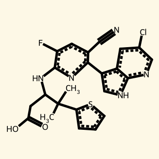 CC(C)(c1cccs1)C(CC(=O)O)Nc1nc(-c2c[nH]c3ncc(Cl)cc23)c(C#N)cc1F